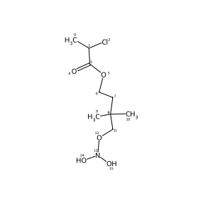 CC(Cl)C(=O)OCCC(C)(C)CON(O)O